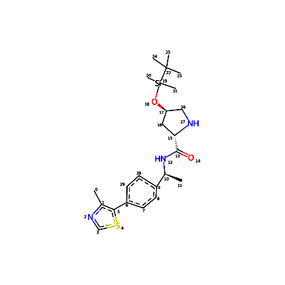 Cc1ncsc1-c1ccc([C@H](C)NC(=O)[C@@H]2C[C@@H](O[Si](C)(C)C(C)(C)C)CN2)cc1